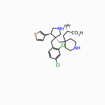 CCC[C@@H](CC1(C[C@@]2(Cc3ccc(Cl)cc3Cl)CNC[C@@H]2c2ccsc2)CCNCC1)C(=O)O